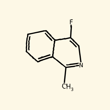 Cc1ncc(F)c2ccccc12